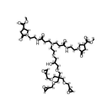 COC(=O)C1CC(=O)N(CCNC(=O)CCN(CCSCC(O)COCC(COCC2CO2)(COCC2CO2)COCC2CO2)CCC(=O)NCCN2CC(C(=O)OC)CC2=O)C1